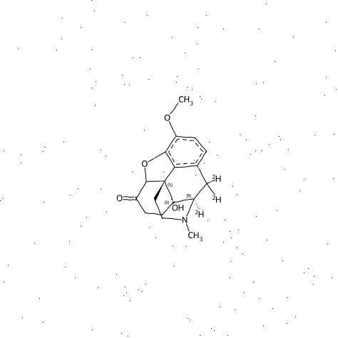 [2H]C1([2H])c2ccc(OC)c3c2[C@]24CCN(C)[C@@]1([2H])[C@]2(O)CCC(=O)C4O3